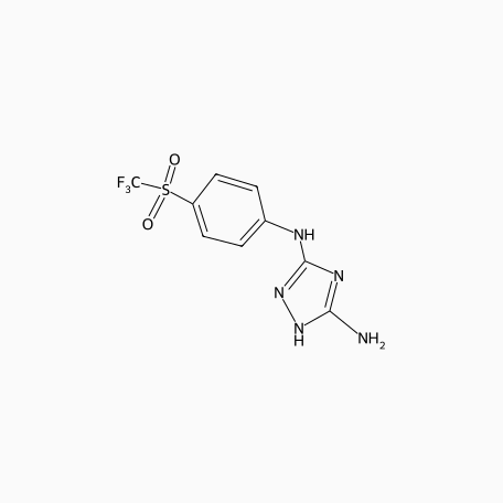 Nc1nc(Nc2ccc(S(=O)(=O)C(F)(F)F)cc2)n[nH]1